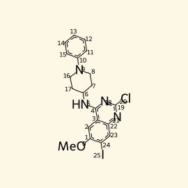 COc1cc2c(NC3CCN(c4ccccc4)CC3)nc(Cl)nc2cc1I